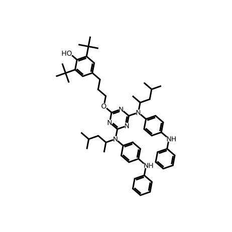 CC(C)CC(C)N(c1ccc(Nc2ccccc2)cc1)c1nc(OCCCc2cc(C(C)(C)C)c(O)c(C(C)(C)C)c2)nc(N(c2ccc(Nc3ccccc3)cc2)C(C)CC(C)C)n1